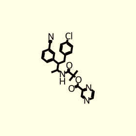 CC(NC(=O)C(C)(C)OC(=O)c1cnccn1)C(Cc1ccc(Cl)cc1)c1cccc(C#N)c1